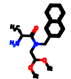 CCOC(CN(Cc1ccc2ccccc2c1)C(=O)[C@H](C)N)OCC